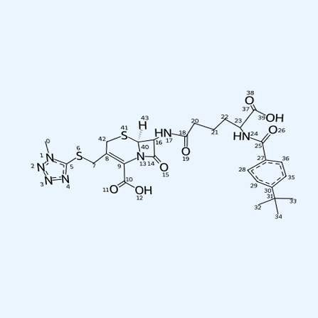 Cn1nnnc1SCC1=C(C(=O)O)N2C(=O)C(NC(=O)CCCC(NC(=O)c3ccc(C(C)(C)C)cc3)C(=O)O)[C@@H]2SC1